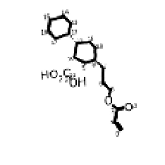 C=CC(=O)OCCC[C@H]1CC[C@H](C2CCCCC2)CC1.O=C(O)O